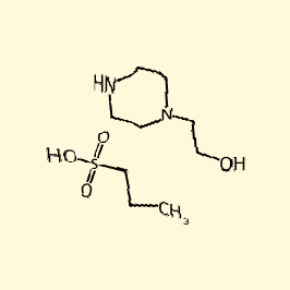 CCCS(=O)(=O)O.OCCN1CCNCC1